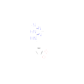 CC1N=C(NCCc2ccc3c(c2)OCO3)NC(N(C)C)=N1